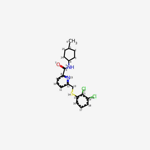 CC1CCC(NC(=O)c2cccc(CSc3cccc(Cl)c3Cl)n2)CC1